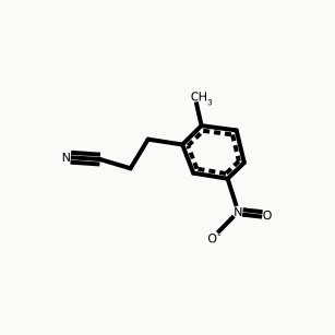 Cc1ccc([N+](=O)[O-])cc1CCC#N